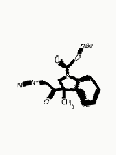 CCCCOC(=O)N1CC(C)(C(=O)C=[N+]=[N-])c2ccccc21